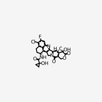 C[C@@]1(O)C(=O)OCc2c1cc1n(c2=O)Cc2c-1nc1cc(F)c(Cl)c3c1c2[C@@H](NC(=O)C1(O)CC1)CC3